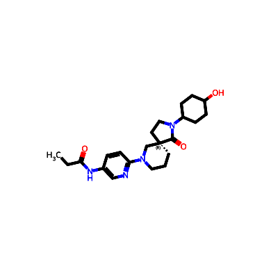 CCC(=O)Nc1ccc(N2CCC[C@@]3(CCN(C4CCC(O)CC4)C3=O)C2)nc1